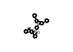 CC1(C)c2ccccc2-c2cc3c4ccccc4c(=O)n(-c4ccc(-n5c6ccc(-c7ccccc7)cc6c6cc(-c7ccccc7)ccc65)cc4)c3cc21